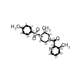 Cc1ccc(S(=O)(=O)N2CCN(C(=O)c3ncccc3C)C[C@H]2C)cc1